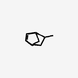 C[C]1CC2C=CC1C2